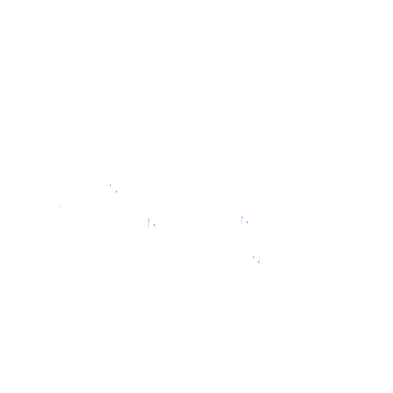 COc1ccccc1N1CCN(C=CCc2nc3ccc(C)cc3c(=O)[nH]2)CC1